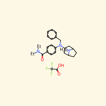 CCN(CC)C(=O)c1ccc(N(Cc2ccccc2)C2CC3CCC(C2)N3C)cc1.O=C(O)C(F)(F)F